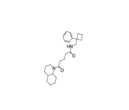 O=C(CCCC(=O)N1CCCC2CCCCC21)NCC1(c2ccccc2)CCC1